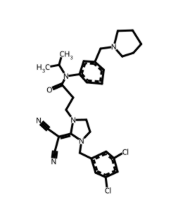 CC(C)N(C(=O)CCN1CCN(Cc2cc(Cl)cc(Cl)c2)C1=C(C#N)C#N)c1cccc(CN2CCCCC2)c1